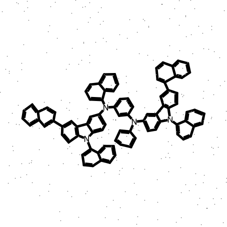 c1ccc(N(c2cccc(N(c3ccc4c(c3)c3cc(-c5ccc6ccccc6c5)ccc3n4-c3cccc4ccccc34)c3cccc4ccccc34)c2)c2ccc3c(c2)c2cc(-c4cccc5ccccc45)ccc2n3-c2cccc3ccccc23)cc1